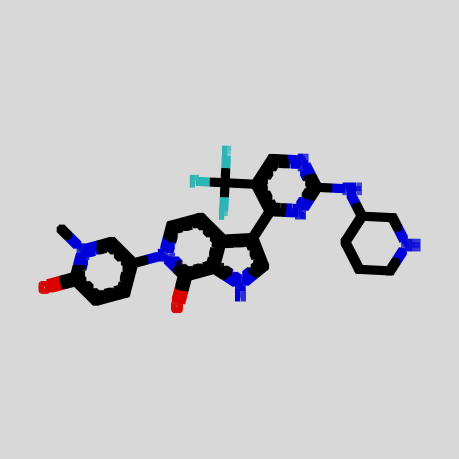 Cn1cc(-n2ccc3c(-c4nc(NC5CCCNC5)ncc4C(F)(F)F)c[nH]c3c2=O)ccc1=O